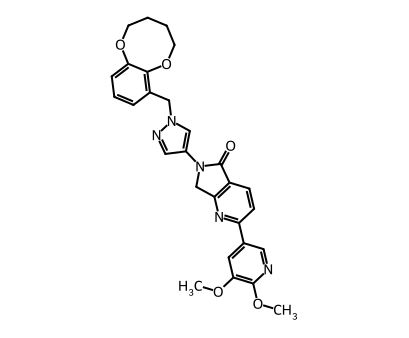 COc1cc(-c2ccc3c(n2)CN(c2cnn(Cc4cccc5c4OCCCCO5)c2)C3=O)cnc1OC